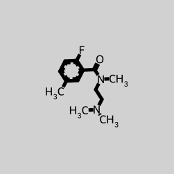 Cc1ccc(F)c(C(=O)N(C)CCN(C)C)c1